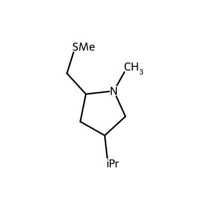 CSCC1CC(C(C)C)CN1C